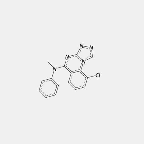 CN(c1ccccc1)c1nc2nncn2c2c(Cl)cccc12